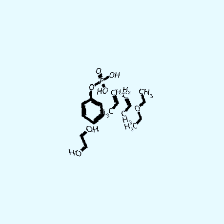 C=CC.C=CC.CCOCC.O=P(O)(O)Oc1ccccc1.OCCO